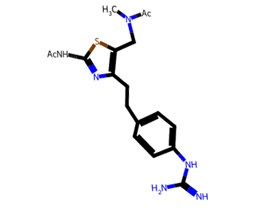 CC(=O)Nc1nc(CCc2ccc(NC(=N)N)cc2)c(CN(C)C(C)=O)s1